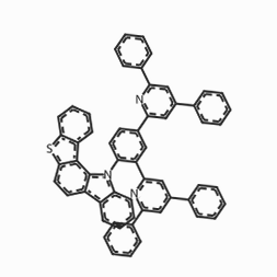 c1ccc(-c2cc(-c3ccccc3)nc(-c3ccc(-n4c5ccccc5c5ccc6sc7ccccc7c6c54)c(-c4cc(-c5ccccc5)cc(-c5ccccc5)n4)c3)c2)cc1